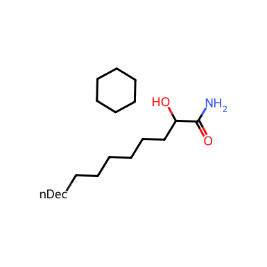 C1CCCCC1.CCCCCCCCCCCCCCCCC(O)C(N)=O